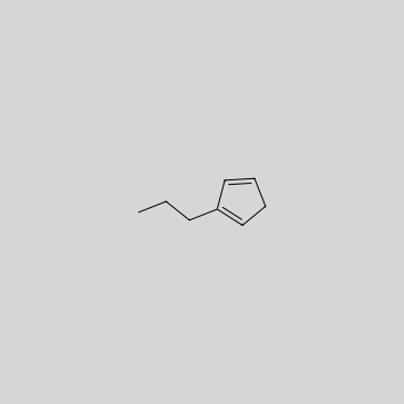 CCCC1=CCC=C1